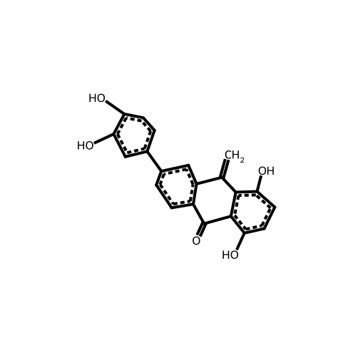 C=C1c2cc(-c3ccc(O)c(O)c3)ccc2C(=O)c2c(O)ccc(O)c21